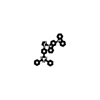 c1ccc(-c2nc(-c3ccccc3)nc(-c3ccc(-n4ccnc4-n4c5ccccc5c5cc(-n6c7ccccc7c7ccccc76)ccc54)cc3)n2)cc1